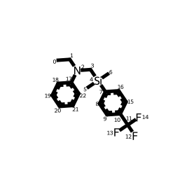 CCN(C[Si](C)(C)c1ccc(C(F)(F)F)cc1)c1ccccc1